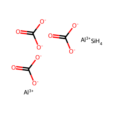 O=C([O-])[O-].O=C([O-])[O-].O=C([O-])[O-].[Al+3].[Al+3].[SiH4]